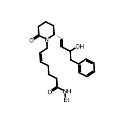 CCNC(=O)CCC/C=C\CN1C(=O)CCC[C@@H]1/C=C/C(O)Cc1ccccc1